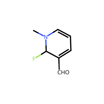 CN1C=CC=C(C=O)C1F